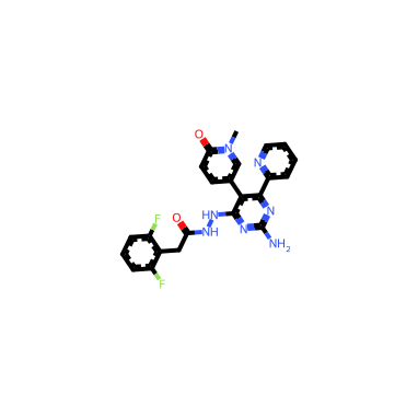 Cn1cc(-c2c(NNC(=O)Cc3c(F)cccc3F)nc(N)nc2-c2ccccn2)ccc1=O